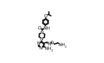 CC(C)Oc1ccc(NC(=O)N2CCN(c3ncnc(N)c3/C=N/OCCN)CC2)cc1